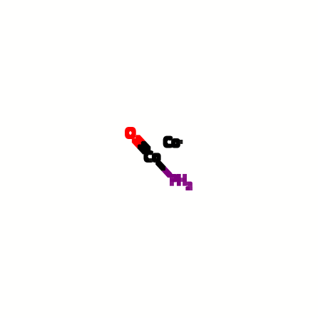 [Co].[O]=[Co][PH2]